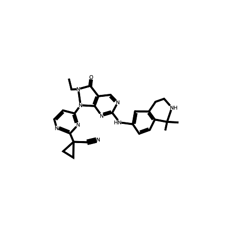 CCn1c(=O)c2cnc(Nc3ccc4c(c3)CCNC4(C)C)nc2n1-c1ccnc(C2(C#N)CC2)n1